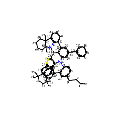 CCCCc1ccc(N2c3cc(-c4ccccc4)cc4c3B(c3sc5cc6c(cc5c32)C(C)(C)CCC6(C)C)N2c3c-4cccc3C3(C)CCCCC23C)c(-c2ccccc2)c1